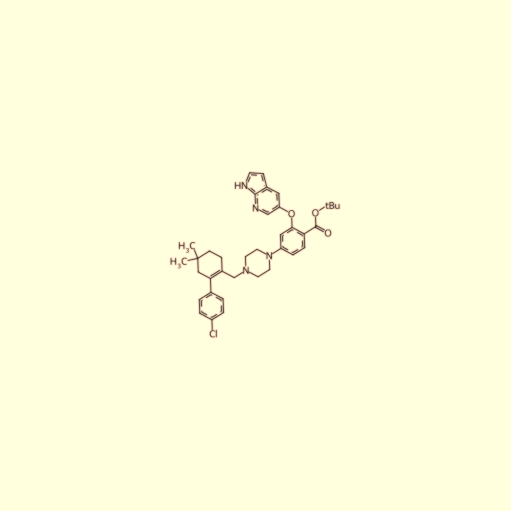 CC1(C)CCC(CN2CCN(c3ccc(C(=O)OC(C)(C)C)c(Oc4cnc5[nH]ccc5c4)c3)CC2)=C(c2ccc(Cl)cc2)C1